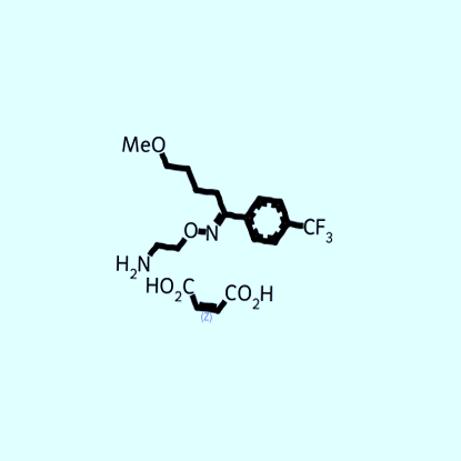 COCCCCC(=NOCCN)c1ccc(C(F)(F)F)cc1.O=C(O)/C=C\C(=O)O